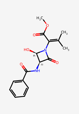 COC(=O)C(=C(C)C)N1C(=O)[C@@H](NC(=O)c2ccccc2)[C@H]1O